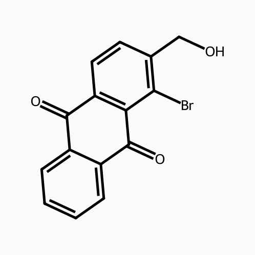 O=C1c2ccccc2C(=O)c2c1ccc(CO)c2Br